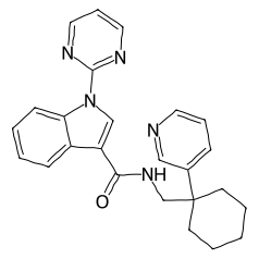 O=C(NCC1(c2cccnc2)CCCCC1)c1cn(-c2ncccn2)c2ccccc12